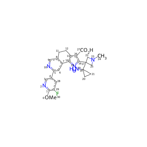 COc1ncc(-c2cc3c(cn2)CCc2c-3[nH]c(C3(C4(N)CC4)CN(C)C3)c2C(=O)O)cc1F